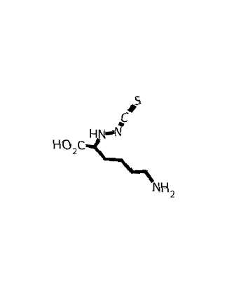 NCCCCC(NN=C=S)C(=O)O